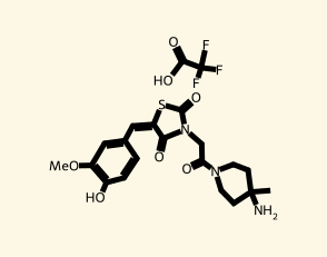 COc1cc(C=C2SC(=O)N(CC(=O)N3CCC(C)(N)CC3)C2=O)ccc1O.O=C(O)C(F)(F)F